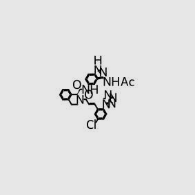 CC(=O)Nc1n[nH]c2ccc(NC(=O)[C@@H]3c4ccccc4CCN3C(=O)/C=C/c3cc(Cl)ccc3-n3cnnn3)cc12